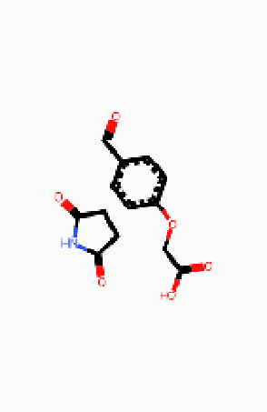 O=C1CCC(=O)N1.O=Cc1ccc(OCC(=O)O)cc1